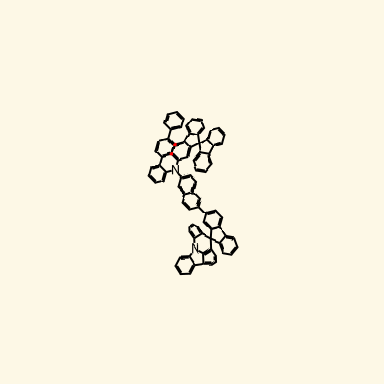 c1ccc(-c2ccc(-c3ccccc3N(c3ccc4c(c3)C3(c5ccccc5-c5ccccc53)c3ccccc3-4)c3ccc4cc(-c5ccc6c(c5)C5(c7ccccc7-6)c6ccccc6-n6c7ccccc7c7cccc5c76)ccc4c3)cc2)cc1